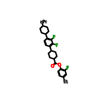 CCCC1CCC(c2ccc(C3CCC(C(=O)Oc4ccc(CC)cc4F)CC3)c(F)c2F)CC1